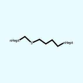 [CH2]CCCCCCCCCCSCCCCCCCC